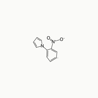 O=[N+]([O-])c1c[c]ccc1-n1cccc1